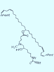 CCCCC/C=C\C/C=C\CCCCCCCCC(CCCCCCCC/C=C\C/C=C\CCCCC)OC(=O)CCCN(C)CC(O)CCCCNC(=O)NC